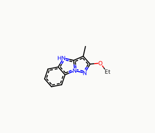 CCOc1nn2c([nH]c3ccccc32)c1C